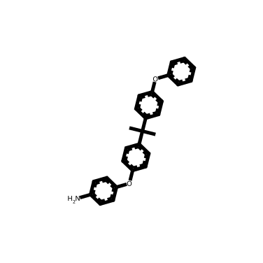 CC(C)(c1ccc(Oc2ccccc2)cc1)c1ccc(Oc2ccc(N)cc2)cc1